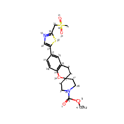 CC(C)(C)OC(=O)N1CCC2(CCc3cc(-c4cnc(CS(C)(=O)=O)s4)ccc3O2)CC1